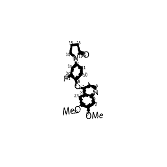 COc1cc2nccc(Oc3ccc(N4CCCC4=O)cc3F)c2cc1OC